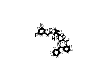 CN1C(=O)[C@@H](NC(=O)C2(NC(=O)Cc3cc(F)cc(F)c3)CC2)N=C(c2ccccc2)c2ccccc21